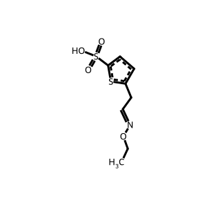 CCON=CCc1ccc(S(=O)(=O)O)s1